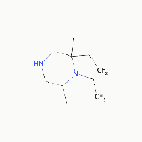 CC1CNCC(C)(CC(F)(F)F)N1CC(F)(F)F